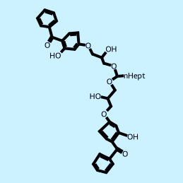 CCCCCCCC(OCC(O)COc1ccc(C(=O)c2ccccc2)c(O)c1)OCC(O)COc1ccc(C(=O)c2ccccc2)c(O)c1